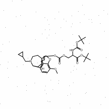 COc1ccc2c3c1OC1C(OC(=O)OCC(NC(=O)OC(C)(C)C)C(=O)OC(C)(C)C)=CCC4(O)CC2N(CC2CC2)CCC314